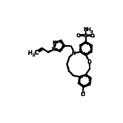 C=CCn1cc(CN2CCCCc3cc(Cl)ccc3COc3ccc(S(N)(=O)=O)cc32)cn1